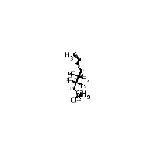 CCOCC(F)(F)C(F)(F)C[SiH2]Cl